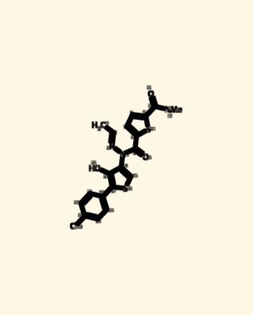 CC=NN(C(=O)c1ccc(C(=O)NC)s1)c1csc(-c2ccc(Cl)cc2)c1O